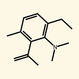 C=C(C)c1c(C)ccc(CC)c1N(C)C